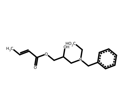 CC=CC(=O)OCC(O)CN(CC(=O)O)Cc1ccccc1